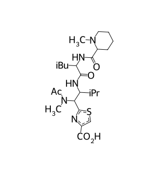 CCC(C)C(NC(=O)C1CCCCN1C)C(=O)NC(C(C)C)C(c1nc(C(=O)O)cs1)N(C)C(C)=O